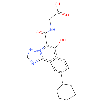 O=C(O)CNC(=O)c1c(O)c2ccc(C3CCCCC3)cc2c2ncnn12